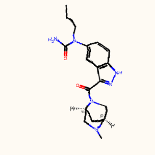 CCCN(C(N)=O)c1ccc2[nH]nc(C(=O)N3C[C@@H]4C[C@H]3CN4C)c2c1